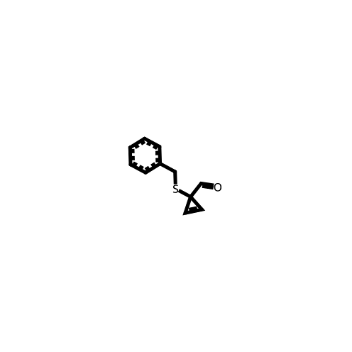 O=CC1(SCc2ccccc2)C=C1